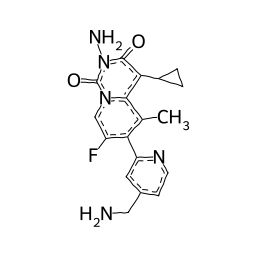 Cc1c(-c2cc(CN)ccn2)c(F)cn2c(=O)n(N)c(=O)c(C3CC3)c12